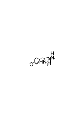 CNNC[C@@H](Cc1ccc(OC)cc1)NC(C)=O